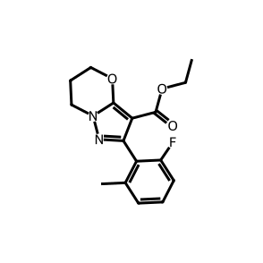 CCOC(=O)c1c(-c2c(C)cccc2F)nn2c1OCCC2